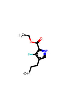 CCCCCCCCCCCCc1c[nH]c(C(=O)OCC(F)(F)F)c1F